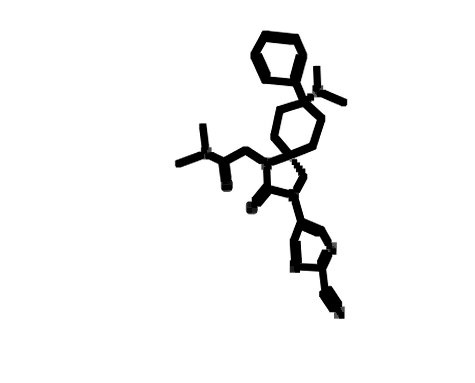 CN(C)C(=O)CN1C(=O)N(c2cnc(C#N)nc2)C[C@]12CC[C@@](c1ccccc1)(N(C)C)CC2